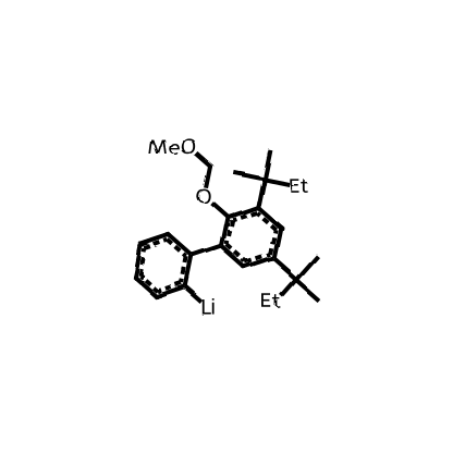 [Li][c]1ccccc1-c1cc(C(C)(C)CC)cc(C(C)(C)CC)c1OCOC